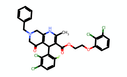 CC1=C(C(=O)OCCOc2cccc(Cl)c2Cl)C(c2c(F)ccc(Cl)c2Cl)C2=C(CN(Cc3ccccc3)CC2=O)N1